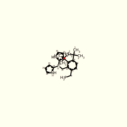 CC(C)(C)c1ccc(CP)c(CP(c2ccc[nH]2)c2ccc[nH]2)c1C(C)(C)C